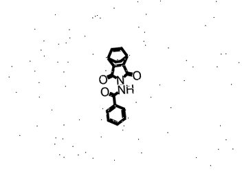 O=C(NN1C(=O)C2C3C=CC(CC3)C2C1=O)c1ccccc1